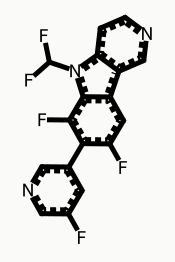 Fc1cncc(-c2c(F)cc3c4cnccc4n(C(F)F)c3c2F)c1